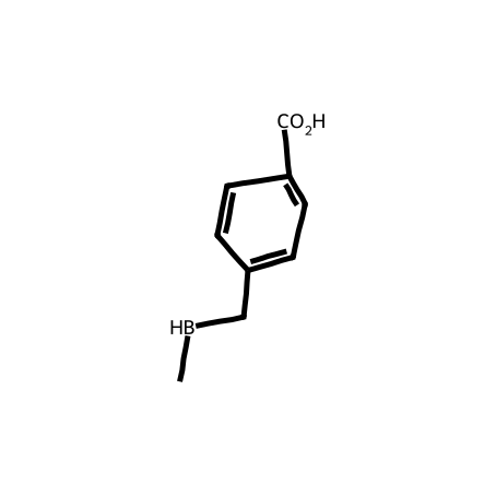 CBCc1ccc(C(=O)O)cc1